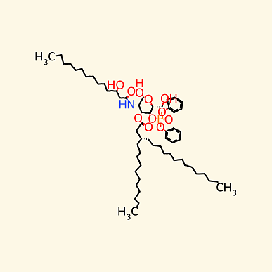 CCCCCCCCCCCCCC[C@H](CCCCCCCCCCC)CC(=O)O[C@@H]1[C@H](NC(=O)C[C@H](O)CCCCCCCCCCC)[C@@H](O)O[C@H](CO)[C@H]1OP(=O)(Oc1ccccc1)Oc1ccccc1